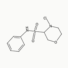 O=S(=O)(Nc1ccccc1)C1COCCN1Cl